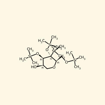 C[Si](C)(C)OC[C@H]1O[CH][C@@H](O)[C@@H](O[Si](C)(C)C)[C@@]1(O[Si](C)(C)C)[Si](C)(C)C